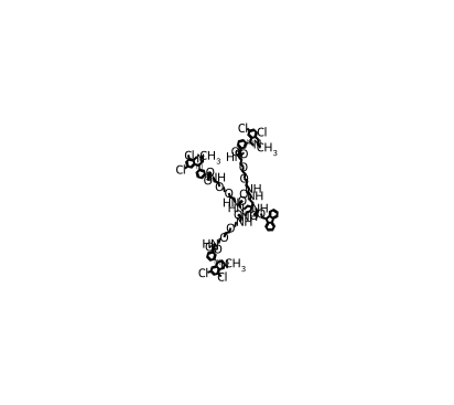 CN1Cc2c(Cl)cc(Cl)cc2[C@H](c2cccc(S(=O)(=O)NCCOCCOCCNC(=O)NCCC(CCNC(=O)NCCOCCOCCNS(=O)(=O)c3cccc([C@@H]4CN(C)Cc5c(Cl)cc(Cl)cc54)c3)(CCNC(=O)NCCOCCOCCNS(=O)(=O)c3cccc([C@@H]4CN(C)Cc5c(Cl)cc(Cl)cc54)c3)NC(=O)OCC3c4ccccc4-c4ccccc43)c2)C1